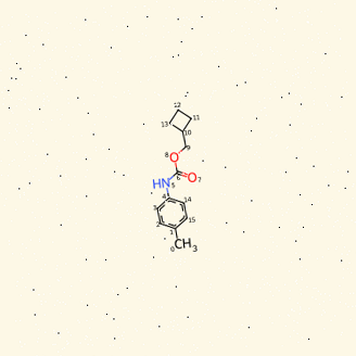 Cc1ccc(NC(=O)OCC2CCC2)cc1